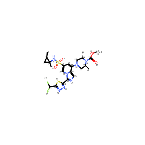 CC1CC1(C)NS(=O)(=O)c1cc(N2C[C@H](C)N(C(=O)OC(C)(C)C)[C@@H](C)C2)c2cnc(-c3nnc(C(F)F)s3)n2c1